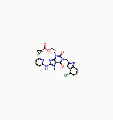 CCOC(=O)[C@@H]1C[C@H]1c1cccc(Nc2nc3c(c(=O)n(Cc4cc5c(Cl)cccc5[nH]4)c(=O)n3C)n2C)n1